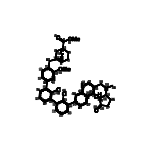 COC(=O)C12CCC(CC1)N(Cc1ccc(-c3cccc(-c4cccc(-c5ccn6c(=O)c(CN(C)[C@H]7CCC(=O)N7)cnc6c5)c4Cl)c3Cl)nc1OC)C2